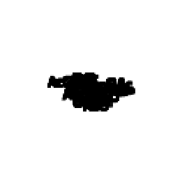 C#CCO[C@@H]1OC(COC(C)=O)[C@@H](O[C@H]2OC(COC(C)=O)[C@@H](O[C@H]3OC(COC(C)=O)[C@@H](C)C(OC(C)=O)[C@@H]3OC(C)=O)C(OC(C)=O)[C@@H]2OC(C)=O)[C@H](OC(C)=O)C1OC(C)=O